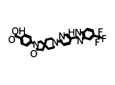 O=C(O)c1ccc(N2CC3(CCN(c4ccc(-c5nc6cc(C(F)(F)F)ccc6[nH]5)cn4)CC3)CC2=O)cc1